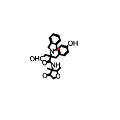 CC1OCC(=O)C1(C)NC(=O)C(CC=O)(Cc1ccc(O)cc1)N1Cc2ccccc2C1